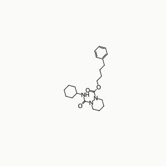 O=C(NC1CCCCC1)N1CCCCN1C(=O)OCCCCc1ccccc1